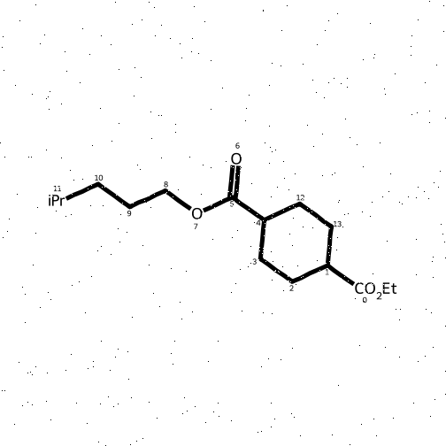 CCOC(=O)C1CCC(C(=O)OCCCC(C)C)CC1